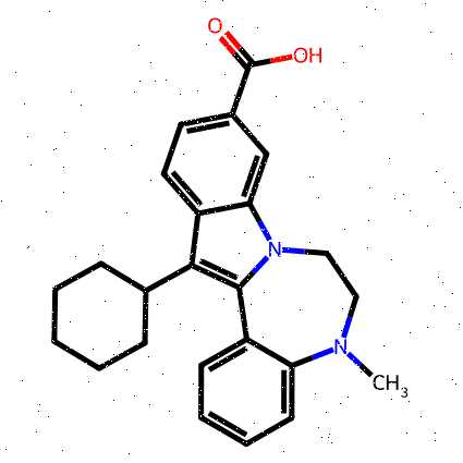 CN1CCn2c(c(C3CCCCC3)c3ccc(C(=O)O)cc32)-c2ccccc21